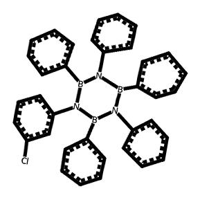 Clc1cccc(N2B(c3ccccc3)N(c3ccccc3)B(c3ccccc3)N(c3ccccc3)B2c2ccccc2)c1